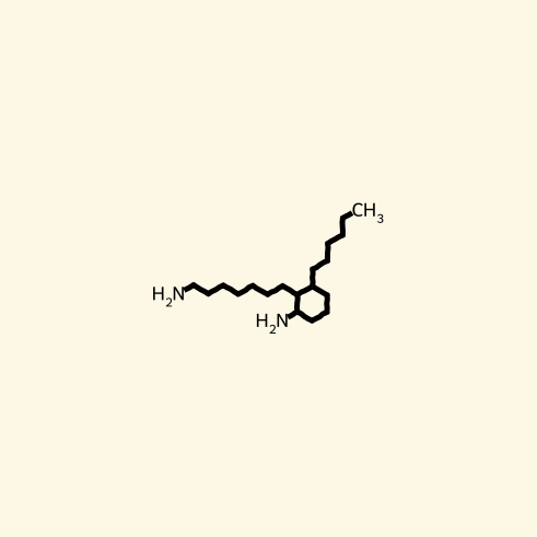 CCCCCCC1CCCC(N)C1CCCCCCCN